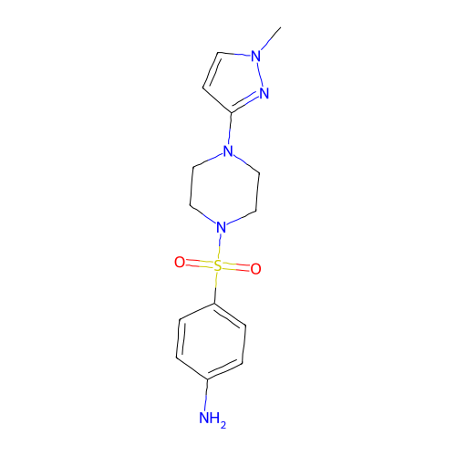 Cn1ccc(N2CCN(S(=O)(=O)c3ccc(N)cc3)CC2)n1